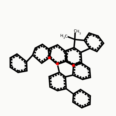 CC1(C)c2ccccc2-c2ccc(N(c3cccc(-c4ccccc4)c3)c3cccc(-c4ccccc4)c3-c3ccccc3-c3ccccc3)cc21